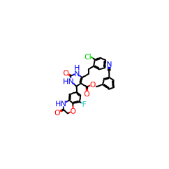 N#Cc1cccc(COC(=O)C2=C(CCc3ccccc3Cl)NC(=O)NC2c2cc(F)c3c(c2)NC(=O)CO3)c1